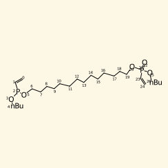 C=CP(OCCCC)OCCCCCCCCCCCCCCOP(=O)(C=C)OCCCC